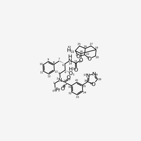 CC(C)CN(C[C@@H](O)[C@H](Cc1ccccc1)NC(=O)OC1C2COC3O[C@H]1CC3C2)S(=O)(=O)c1cccc(-c2nnco2)c1